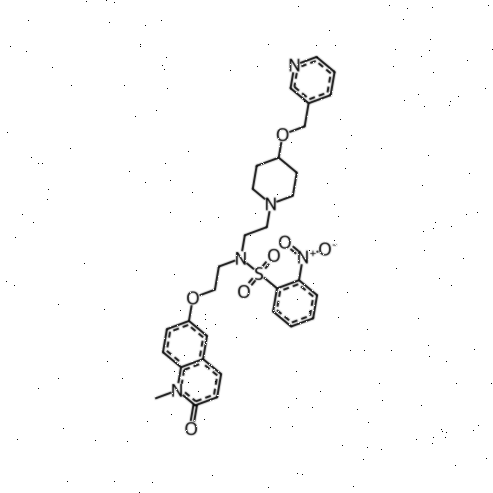 Cn1c(=O)ccc2cc(OCCN(CCN3CCC(OCc4cccnc4)CC3)S(=O)(=O)c3ccccc3[N+](=O)[O-])ccc21